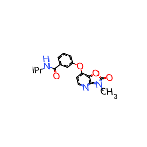 CC(C)NC(=O)c1cccc(Oc2ccnc3c2oc(=O)n3C)c1